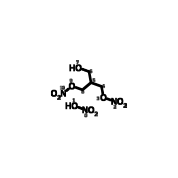 O=[N+]([O-])O.O=[N+]([O-])OCC(CO)CO[N+](=O)[O-]